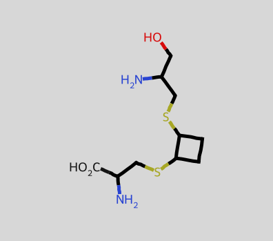 NC(CO)CSC1CCC1SCC(N)C(=O)O